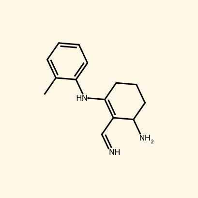 Cc1ccccc1NC1=C(C=N)C(N)CCC1